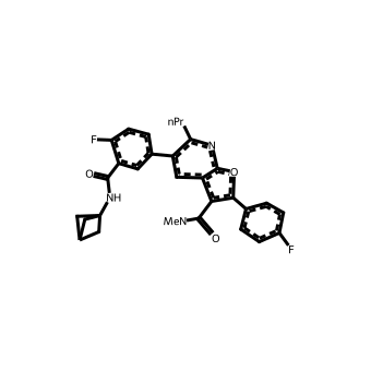 CCCc1nc2oc(-c3ccc(F)cc3)c(C(=O)NC)c2cc1-c1ccc(F)c(C(=O)NC23CC(C2)C3)c1